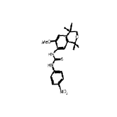 COc1cc2c(cc1NC(=S)Nc1ccc([N+](=O)[O-])cc1)C(C)(C)OCC2(C)C